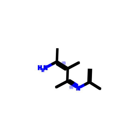 C=C(C)/N=C(C)\C(C)=C(\C)N